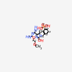 COCCOC(=N)/N=C(/N)c1nc(O)n(Cc2cccc(P(=O)(O)O)c2)c1C